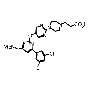 CNCc1cc(Oc2cnc(N3CCN(CCC(=O)O)CC3)nc2)nc(-c2cc(Cl)cc(Cl)c2)c1